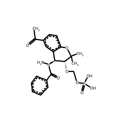 CC(=O)c1ccc2c(c1)[C@H](N(N)C(=O)c1ccccc1)[C@@H](OCOP(=O)(O)O)C(C)(C)O2